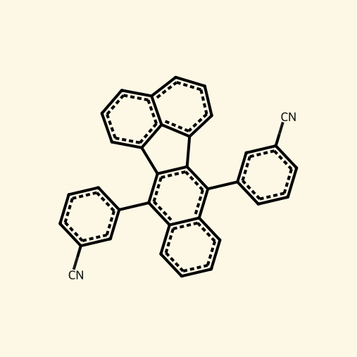 N#Cc1cccc(-c2c3c(c(-c4cccc(C#N)c4)c4ccccc24)-c2cccc4cccc-3c24)c1